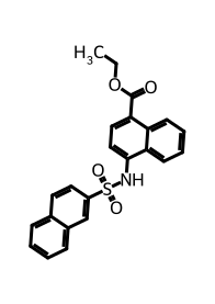 CCOC(=O)c1ccc(NS(=O)(=O)c2ccc3ccccc3c2)c2ccccc12